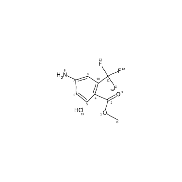 COC(=O)c1ccc(N)cc1C(F)(F)F.Cl